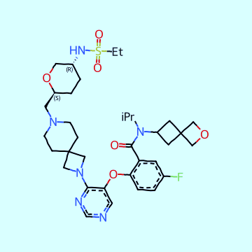 CCS(=O)(=O)N[C@@H]1CC[C@@H](CN2CCC3(CC2)CN(c2ncncc2Oc2ccc(F)cc2C(=O)N(C(C)C)C2CC4(COC4)C2)C3)OC1